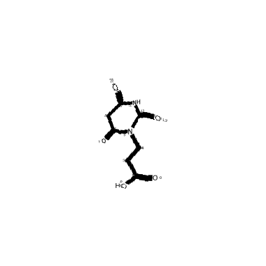 O=C(O)CCN1C(=O)CC(=O)NC1=O